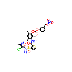 Cc1cc(C)c(OC(=O)Oc2cccc(CO[N+](=O)[O-])c2)c(C)c1NC(=O)c1sccc1S(=O)(=O)Nc1onc(C)c1Cl